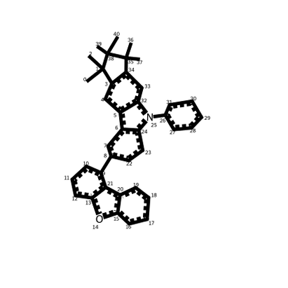 CC1(C)c2cc3c4cc(-c5cccc6oc7ccccc7c56)ccc4n(-c4ccccc4)c3cc2C(C)(C)C1(C)C